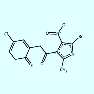 Cc1nc(Br)c([N+](=O)[O-])n1C(=O)CC1=CC(Cl)=CCC1=S